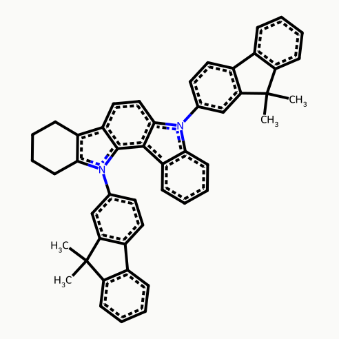 CC1(C)c2ccccc2-c2ccc(-n3c4c(c5ccc6c(c7ccccc7n6-c6ccc7c(c6)C(C)(C)c6ccccc6-7)c53)CCCC4)cc21